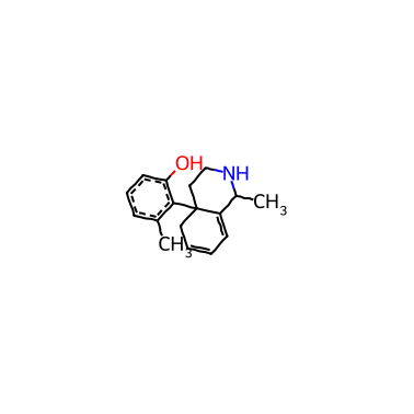 Cc1cccc(O)c1C12CC=CC=C1C(C)NCC2